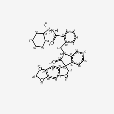 C[C@H](NC(=O)c1ccccc1CN1C(=O)C2(COc3cc4c(cc32)OCO4)c2ccccc21)C1CCCCC1